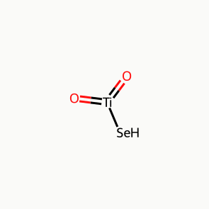 [O]=[Ti](=[O])[SeH]